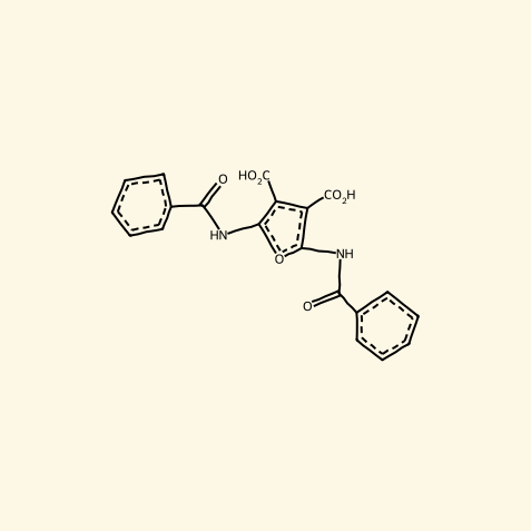 O=C(Nc1oc(NC(=O)c2ccccc2)c(C(=O)O)c1C(=O)O)c1ccccc1